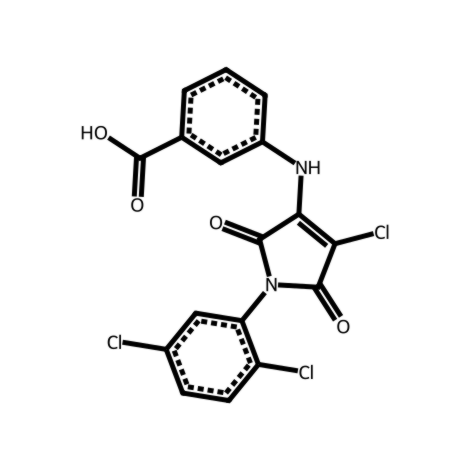 O=C(O)c1cccc(NC2=C(Cl)C(=O)N(c3cc(Cl)ccc3Cl)C2=O)c1